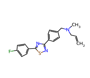 C=CCN(C)Cc1ccc(-c2nsc(-c3ccc(F)cc3)n2)cc1